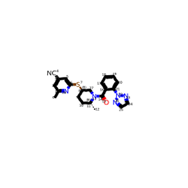 Cc1cc(C#N)cc(S[C@@H]2CC[C@@H](C)N(C(=O)c3ccccc3-n3nccn3)C2)n1